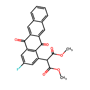 COC(=O)C(C(=O)OC)c1cc(F)cc2c1C(=O)c1cc3ccccc3cc1C2=O